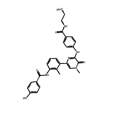 COCCNC(=O)c1ccc(Nc2nc(-c3cccc(NC(=O)c4ccc(C(C)(C)C)cc4)c3C)cn(C)c2=O)cc1